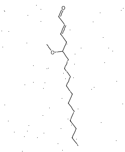 CCCCCCCCCCCC(CC=CC=O)OC